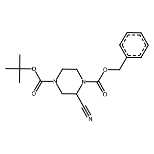 CC(C)(C)OC(=O)N1CCN(C(=O)OCc2ccccc2)C(C#N)C1